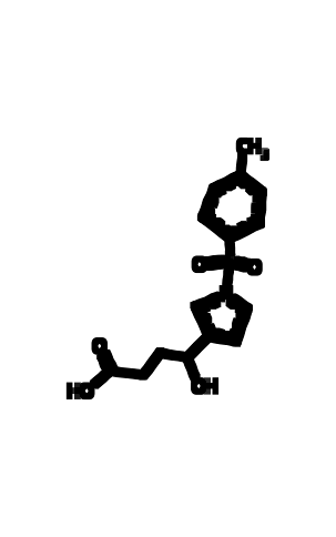 Cc1ccc(S(=O)(=O)n2ccc(C(O)CCC(=O)O)c2)cc1